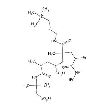 CCC(CC(C)(CC(CC(C)C(=O)NC(C)(C)CS(=O)(=O)O)C(=O)O)C(=O)NCCC[N+](C)(C)C)C(=O)NC(C)C